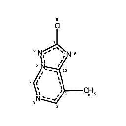 Cc1cncn2nc(Cl)nc12